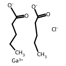 CCCCC(=O)[O-].CCCCC(=O)[O-].[Cl-].[Ga+3]